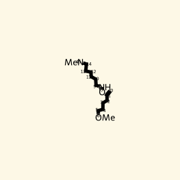 C=C(CCCCOC)ONCCCCCCNC